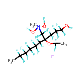 FOC(F)(F)C(F)(F)C(F)(F)C(OC(F)(F)C(F)(F)F)(C(F)(F)C(F)(F)C(F)(F)C(F)(F)C(F)(F)C(F)(F)F)C(F)(F)[N+](OF)(OF)C(F)(F)F.[I-]